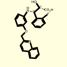 O=C(O)[C@@H](O)[C@@H](Nc1cccc(OCc2ccc3ccccc3n2)c1)c1ccccc1F